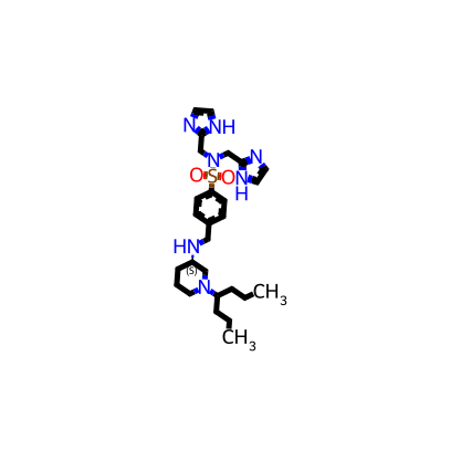 CCCC(CCC)N1CCC[C@H](NCc2ccc(S(=O)(=O)N(Cc3ncc[nH]3)Cc3ncc[nH]3)cc2)C1